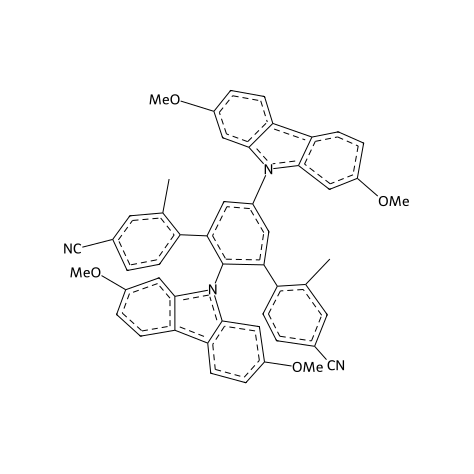 COc1ccc2c3ccc(OC)cc3n(-c3cc(-c4ccc(C#N)cc4C)c(-n4c5cc(OC)ccc5c5ccc(OC)cc54)c(-c4ccc(C#N)cc4C)c3)c2c1